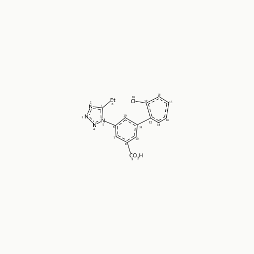 CCc1nnnn1-c1cc(C(=O)O)cc(-c2ccccc2Cl)c1